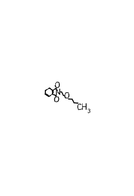 CCCCCOCCN1C(=O)C2=C(CCC=C2)C1=O